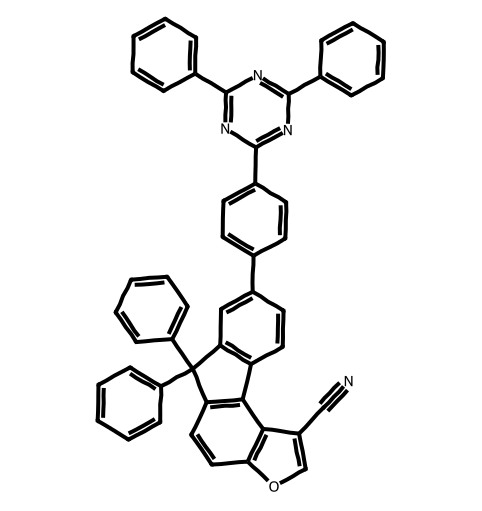 N#Cc1coc2ccc3c(c12)-c1ccc(-c2ccc(-c4nc(-c5ccccc5)nc(-c5ccccc5)n4)cc2)cc1C3(c1ccccc1)c1ccccc1